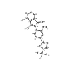 Cc1cc(-c2nnc(C(F)(F)F)o2)ccc1N1C(=O)c2cccc(I)c2C1=O